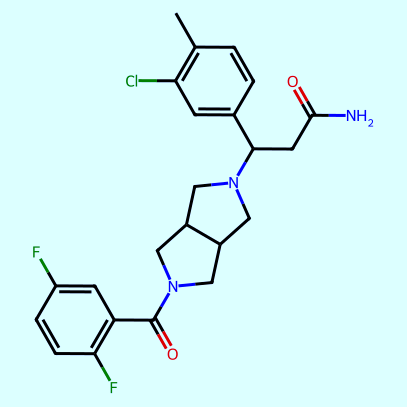 Cc1ccc(C(CC(N)=O)N2CC3CN(C(=O)c4cc(F)ccc4F)CC3C2)cc1Cl